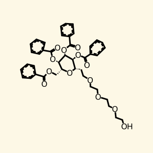 O=C(OC[C@H]1O[C@@H](CCOCCOCCOCCO)[C@H](OC(=O)c2ccccc2)[C@@H](OC(=O)c2ccccc2)[C@H]1OC(=O)c1ccccc1)c1ccccc1